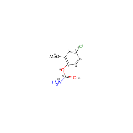 COc1cc(Cl)ccc1OC(N)=O